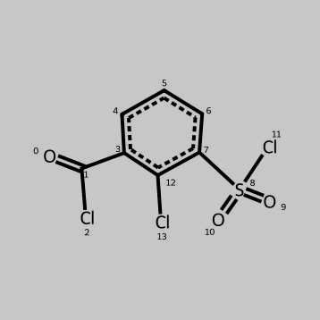 O=C(Cl)c1cccc(S(=O)(=O)Cl)c1Cl